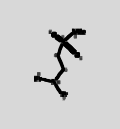 CNS(=O)(=O)CCN(C(C)C)C(C)C